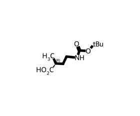 C[C@H](CCNC(=O)OC(C)(C)C)C(=O)O